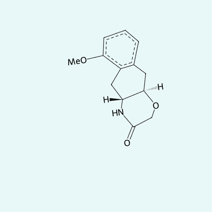 COc1cccc2c1C[C@H]1NC(=O)CO[C@@H]1C2